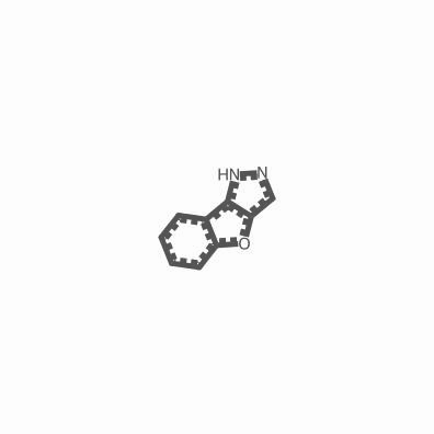 c1ccc2c(c1)oc1cn[nH]c12